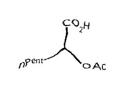 CCCCCC(OC(C)=O)C(=O)O